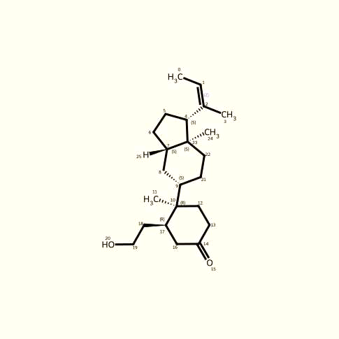 C/C=C(/C)[C@H]1CC[C@H]2C[C@@H]([C@@]3(C)CCC(=O)C[C@H]3CCO)CC[C@@]21C